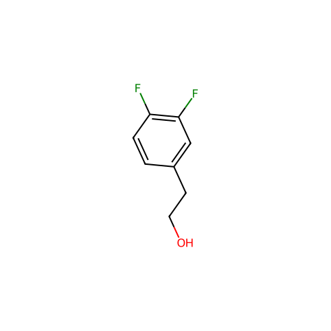 OCCc1ccc(F)c(F)c1